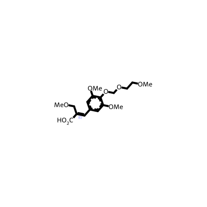 COCCOCOc1c(OC)cc(/C=C(\COC)C(=O)O)cc1OC